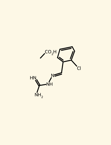 CC(=O)O.N=C(N)N/N=C/c1ccccc1Cl